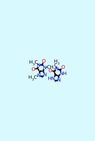 Cn1c(=O)[nH]c2nc[nH]c2c1=O.Cn1c(=O)c2c(ncn2C)n(C)c1=O